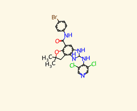 CC1(C)Cc2c3c(cc(C(=O)Nc4ccc(Br)cc4)c2O1)NC(Nc1c(Cl)cncc1Cl)N3